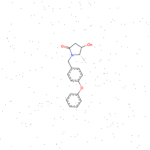 C[C@H]1C(O)CC(=O)N1Cc1ccc(Oc2ccccc2)cc1